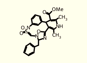 COC(=O)C1=C(C)NC(C)=C(C2=NC(Cc3ccccc3)N(C=S=O)O2)C1c1cccc([N+](=O)[O-])c1